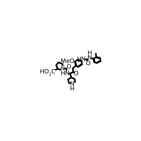 COc1cc(NC(=O)Nc2ccccc2C)ccc1CC(=O)C(NC(=O)N1CCCC(C(=O)O)C1)C1CCNCC1